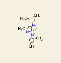 CCCC(CCC)N1CCC2CN(c3ccc(C)cc3C)c3nc(C)cc1c32